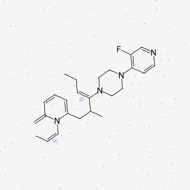 C=C1C=CC=C(CC(C)/C(=C/CC)N2CCN(c3ccncc3F)CC2)N1/C=C\C